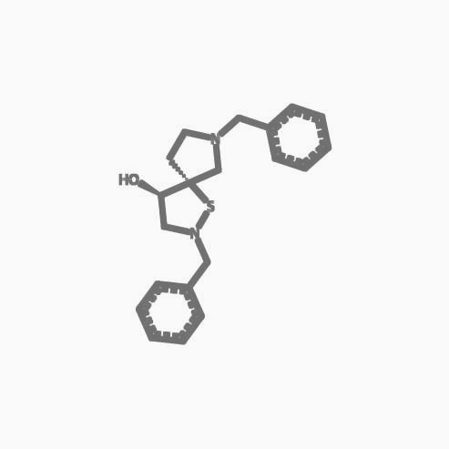 O[C@@H]1CN(Cc2ccccc2)S[C@@]12CCN(Cc1ccccc1)C2